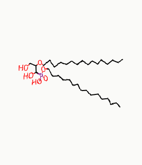 CCCCCCCCCCCCCCCCOC(CO)C(O)P(=O)(O)OCCCCCCCCCCCCCCCC